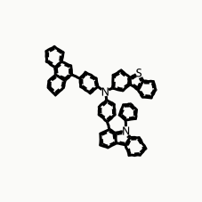 c1ccc(-n2c3ccccc3c3cccc(-c4ccc(N(c5ccc(-c6cc7ccccc7c7ccccc67)cc5)c5ccc6sc7ccccc7c6c5)cc4)c32)cc1